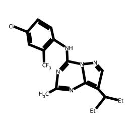 CCC(CC)c1cnn2c(Nc3ccc(Cl)cc3C(F)(F)F)nc(C)nc12